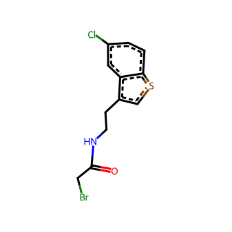 O=C(CBr)NCCc1csc2ccc(Cl)cc12